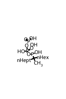 CCCCCCCC(C)(CCCCCC)P(O)OP(=O)(O)OP(=O)(O)O